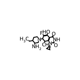 CCC1CCN(C2C(F)=C(O)c3c(n(C4CC4)c(=O)[nH]c3=O)C2C)CC1N